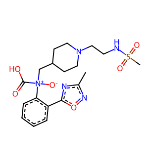 Cc1noc(-c2ccccc2[N+]([O-])(CC2CCN(CCNS(C)(=O)=O)CC2)C(=O)O)n1